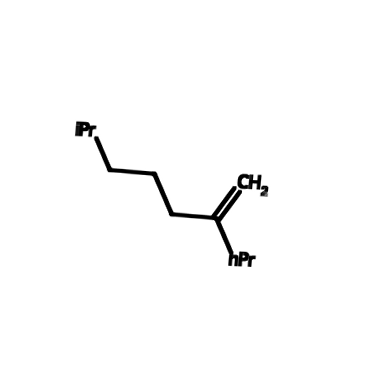 [CH2]CCC(=C)CCCC(C)C